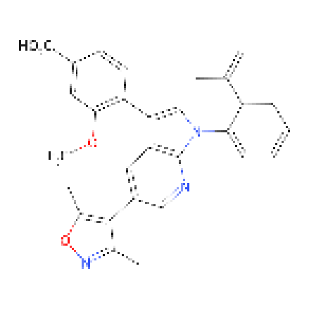 C=C(C)c1ccccc1-n1cc(-c2ccc(C(=O)O)cc2OC(F)(F)F)c2cc(-c3c(C)noc3C)cnc21